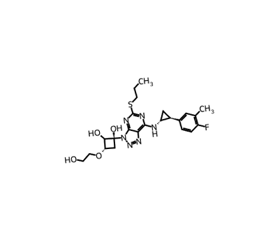 CCCSc1nc(N[C@@H]2C[C@H]2c2ccc(F)c(C)c2)c2nnn([C@]3(O)C[C@H](OCCO)C3O)c2n1